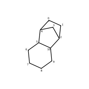 [CH]1CC2CC1C1CCCCC21